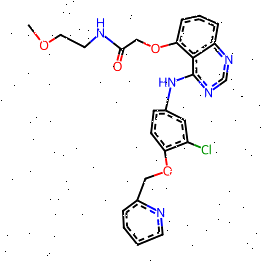 COCCNC(=O)COc1cccc2ncnc(Nc3ccc(OCc4ccccn4)c(Cl)c3)c12